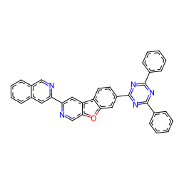 c1ccc(-c2nc(-c3ccccc3)nc(-c3ccc4c(c3)oc3cnc(-c5cc6ccccc6cn5)cc34)n2)cc1